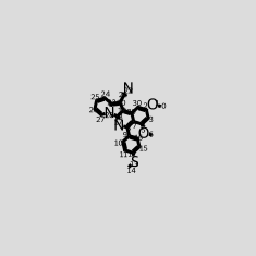 COc1cc(OC)c2c(-c3ccc(SC)cc3)nc3c(c(C#N)c4ccccn43)c2c1